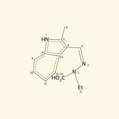 CCN(/N=C\c1c(C)[nH]c2ccccc12)C(=O)O